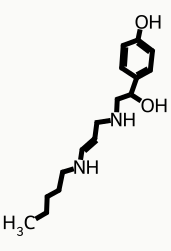 CCCCCNC=CCNCC(O)c1ccc(O)cc1